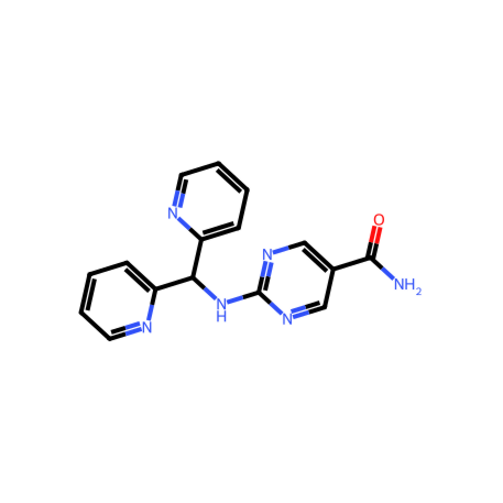 NC(=O)c1cnc(NC(c2ccccn2)c2ccccn2)nc1